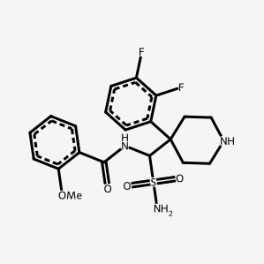 COc1ccccc1C(=O)NC(C1(c2cccc(F)c2F)CCNCC1)S(N)(=O)=O